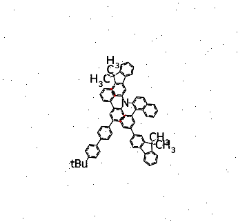 CC(C)(C)c1ccc(-c2ccc(-c3ccc(N(c4ccc5c(c4)-c4ccccc4C5(C)C)c4ccc5ccccc5c4-c4cccc(-c5ccc6c(c5)C(C)(C)c5ccccc5-6)c4)c(-c4ccccc4)c3)cc2)cc1